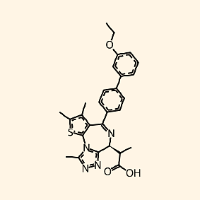 CCOc1cccc(-c2ccc(C3=N[C@@H](C(C)C(=O)O)c4nnc(C)n4-c4sc(C)c(C)c43)cc2)c1